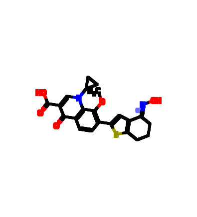 COc1c(-c2cc3c(s2)CCC/C3=N\O)ccc2c(=O)c(C(=O)O)cn(C3CC3)c12